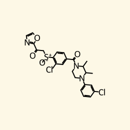 CC1C(C)N(c2cccc(Cl)c2)CCN1C(=O)c1ccc([S+]([O-])CC(=O)c2ncco2)c(Cl)c1